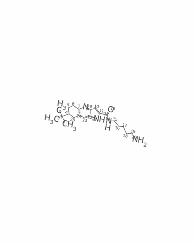 CC(C)(C)C1CCc2nc3cc(C(=O)NCCCCCN)[nH]c3cc2C1